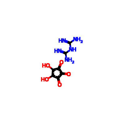 N=C(N)NC(=N)N.O=c1c(O)c(O)c(=O)c1=O